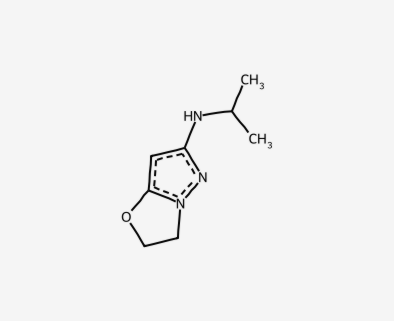 CC(C)Nc1cc2n(n1)CCO2